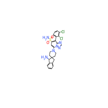 N[C@@H]1c2ccccc2CC12CCN(c1cc(S(N)(=O)=O)c(-c3cccc(Cl)c3Cl)c3ncnn13)CC2